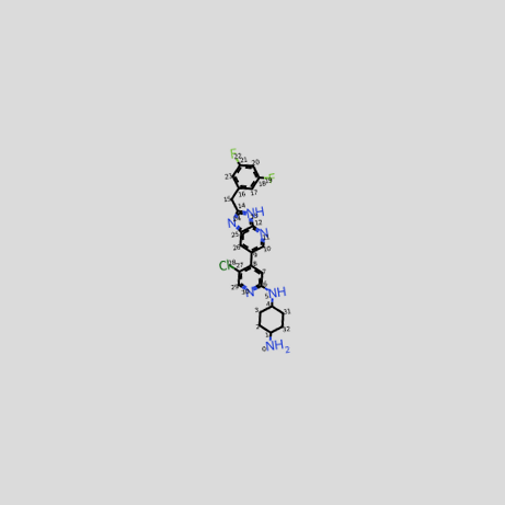 NC1CCC(Nc2cc(-c3cnc4[nH]c(Cc5cc(F)cc(F)c5)nc4c3)c(Cl)cn2)CC1